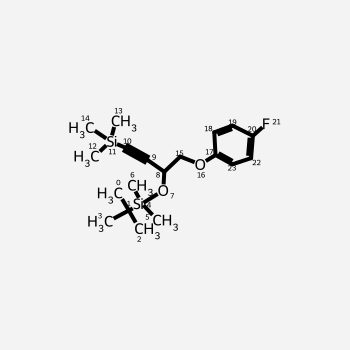 CC(C)(C)[Si](C)(C)OC(C#C[Si](C)(C)C)COc1ccc(F)cc1